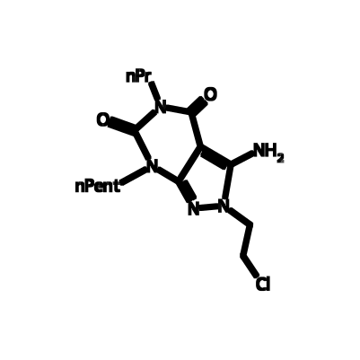 CCCCCn1c(=O)n(CCC)c(=O)c2c(N)n(CCCl)nc21